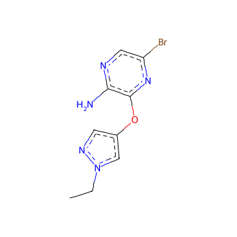 CCn1cc(Oc2nc(Br)cnc2N)cn1